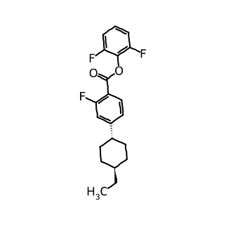 CC[C@H]1CC[C@H](c2ccc(C(=O)Oc3c(F)cccc3F)c(F)c2)CC1